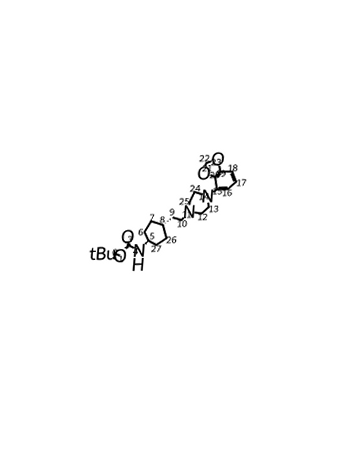 CC(C)(C)OC(=O)N[C@H]1CC[C@H](CCN2CCN(c3cccc4c3OCO4)CC2)CC1